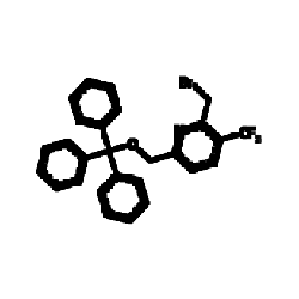 FC(F)(F)c1ccc(COC(c2ccccc2)(c2ccccc2)c2ccccc2)nc1CBr